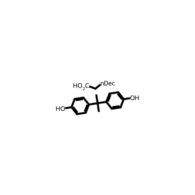 CC(C)(c1ccc(O)cc1)c1ccc(O)cc1.CCCCCCCCCCCC(=O)O